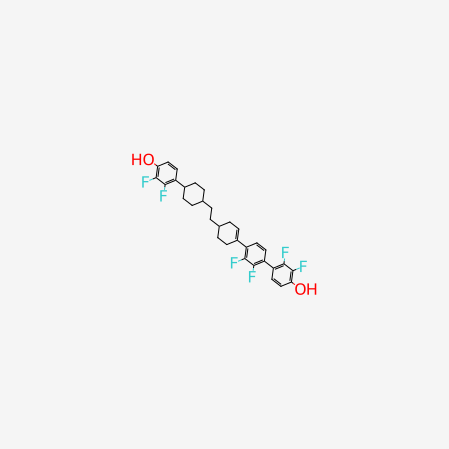 Oc1ccc(-c2ccc(C3=CCC(CCC4CCC(c5ccc(O)c(F)c5F)CC4)CC3)c(F)c2F)c(F)c1F